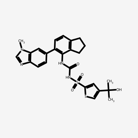 Cn1cnc2ccc(-c3ccc4c(c3NC(=O)NS(=O)(=O)c3cc(C(C)(C)O)cs3)CCC4)cc21